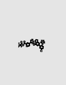 O=C(OC(=O)C(F)(F)F)c1cc(-c2cnc([C@@H]3CCc4cc(-c5cc(Cl)ccc5-n5cnnn5)cc(=O)n43)[nH]2)ccn1